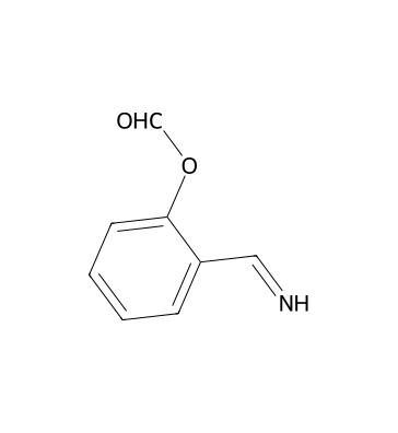 N=Cc1ccccc1OC=O